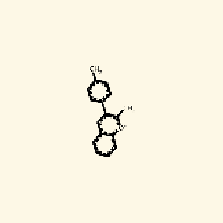 Cc1ccc(-c2cc3ccccc3[o+]c2C)cc1